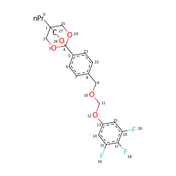 CCCC12COC(c3ccc(COCOc4cc(F)c(F)c(F)c4)cc3)(OC1)OC2